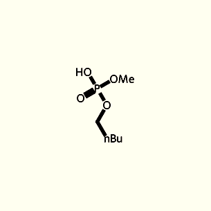 CCCCCOP(=O)(O)OC